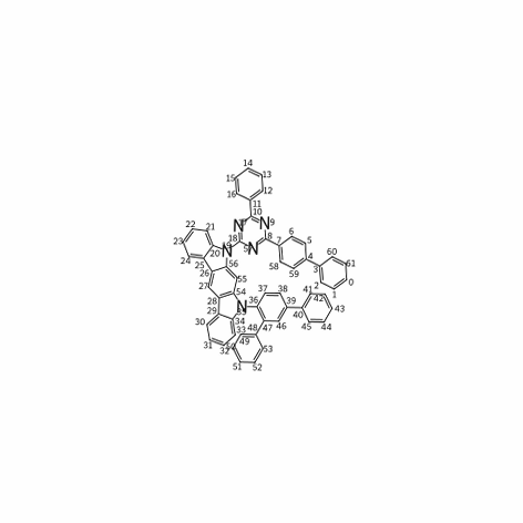 c1ccc(-c2ccc(-c3nc(-c4ccccc4)nc(-n4c5ccccc5c5cc6c7ccccc7n(-c7ccc(-c8ccccc8)cc7-c7ccccc7)c6cc54)n3)cc2)cc1